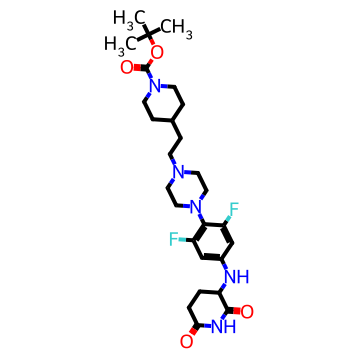 CC(C)(C)OC(=O)N1CCC(CCN2CCN(c3c(F)cc(NC4CCC(=O)NC4=O)cc3F)CC2)CC1